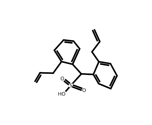 C=CCc1ccccc1C(c1ccccc1CC=C)S(=O)(=O)O